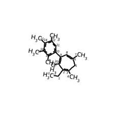 CCC1=C(C)CC(C)=CC(c2cc(C)c(C)c(C)c2C)=C1C